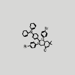 CC1(C)CC(=O)C2=C(C1)N(c1ccc(Br)cc1)C(c1ccc(N(c3ccccc3)c3ccccc3)cc1)N(c1ccc(Br)cc1)C2